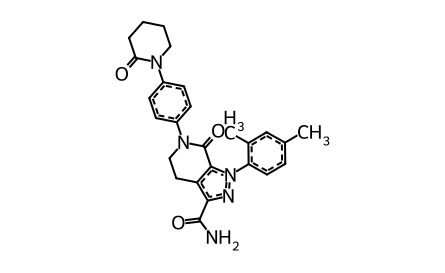 Cc1ccc(-n2nc(C(N)=O)c3c2C(=O)N(c2ccc(N4CCCCC4=O)cc2)CC3)c(C)c1